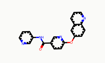 O=C(Nc1cccnc1)c1ccc(Oc2ccc3ncccc3c2)nc1